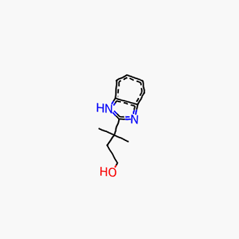 CC(C)(CCO)c1nc2ccccc2[nH]1